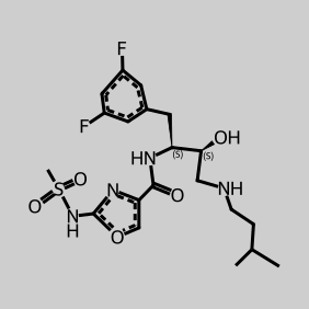 CC(C)CCNC[C@H](O)[C@H](Cc1cc(F)cc(F)c1)NC(=O)c1coc(NS(C)(=O)=O)n1